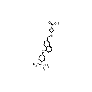 CC(C)(C)[C@H]1CC[C@H](Oc2cccc3cc(CNC4CC(C(=O)O)C4)ccc23)CC1